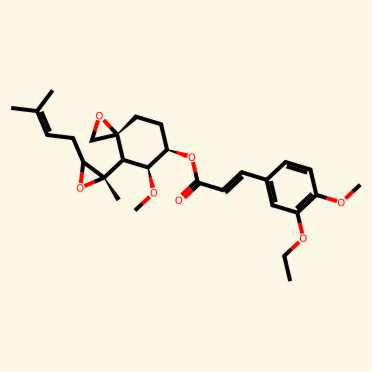 CCOc1cc(/C=C/C(=O)O[C@@H]2CC[C@]3(CO3)C([C@]3(C)OC3CC=C(C)C)[C@@H]2OC)ccc1OC